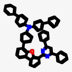 c1ccc(-c2ccc(N(c3ccc(-c4ccccc4)cc3)c3ccc(-c4cccc5c4oc4c(-c6nc(-c7ccccc7)cc(-c7ccccc7)n6)cccc45)cc3)cc2)cc1